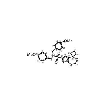 COc1ccc(CN(Cc2ccc(OC)cc2)S(=O)(=O)c2cc3n(n2)CCOC32CCC2)cc1